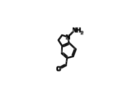 NN1CCc2cc(C=O)ccc21